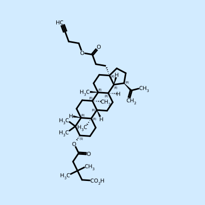 C#CCCOC(=O)CC[C@]12CC[C@@H](C(=C)C)[C@@H]1[C@H]1CC[C@@H]3[C@@]4(C)CC[C@H](OC(=O)CC(C)(C)CC(=O)O)C(C)(C)[C@@H]4CC[C@@]3(C)[C@]1(C)CC2